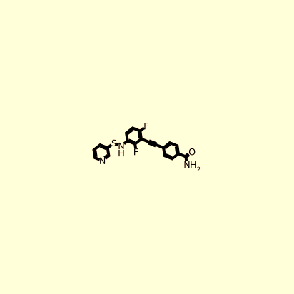 NC(=O)c1ccc(C#Cc2c(F)ccc(NSc3cccnc3)c2F)cc1